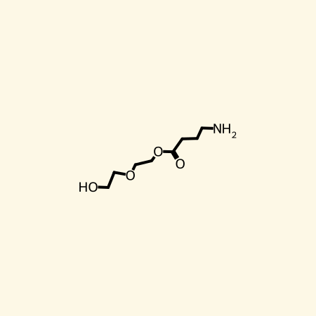 NCCCC(=O)OCCOCCO